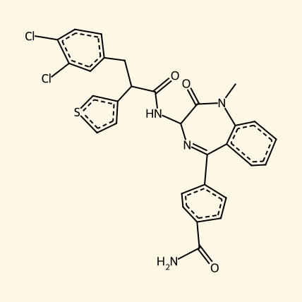 CN1C(=O)C(NC(=O)C(Cc2ccc(Cl)c(Cl)c2)c2ccsc2)N=C(c2ccc(C(N)=O)cc2)c2ccccc21